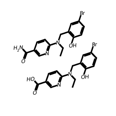 CCN(Cc1cc(Br)ccc1O)c1ccc(C(=O)O)cn1.CCN(Cc1cc(Br)ccc1O)c1ccc(C(N)=O)cn1